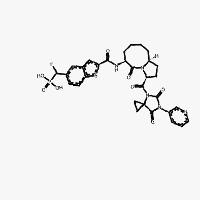 O=C(N[C@H]1CCCC[C@H]2CC[C@@H](C(=O)N3C(=O)N(c4cccnc4)C(=O)C34CC4)N2C1=O)c1cc2cc(C(F)P(=O)(O)O)ccc2s1